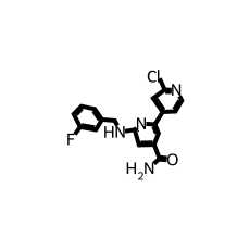 NC(=O)c1cc(NCc2cccc(F)c2)nc(-c2ccnc(Cl)c2)c1